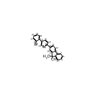 CC1(C)c2ccccc2-c2ccc(-c3ccc(-c4ccccc4Br)cn3)cc21